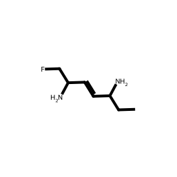 CCC(N)/C=C/C(N)CF